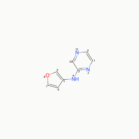 c1cnc(Nc2ccoc2)cn1